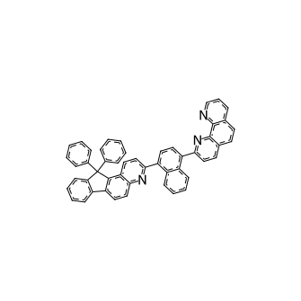 c1ccc(C2(c3ccccc3)c3ccccc3-c3ccc4nc(-c5ccc(-c6ccc7ccc8cccnc8c7n6)c6ccccc56)ccc4c32)cc1